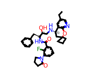 CCc1cnc2c(c1)[C@@H](NC[C@H](O)[C@H](Cc1ccccc1)NC(=O)c1cccc(N3CCCC3=O)c1F)CC1(CCC1)O2